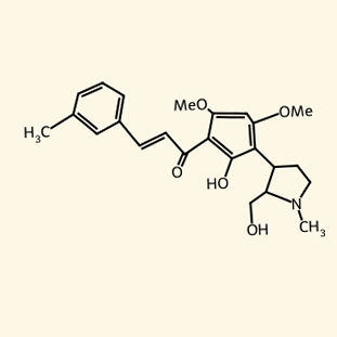 COc1cc(OC)c(C2CCN(C)C2CO)c(O)c1C(=O)C=Cc1cccc(C)c1